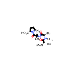 CC[C@H](C)[C@H](NC)C(=O)N(C)[C@H](C(=O)NC(C)(C)C(=O)N1CCC[C@H]1C(=O)O)[C@@H](C)CC